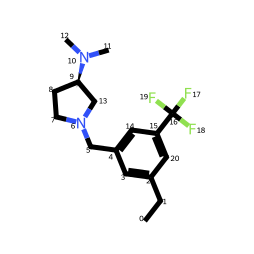 CCc1cc(CN2CC[C@@H](N(C)C)C2)cc(C(F)(F)F)c1